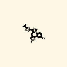 CC(C)c1noc(-c2ncn3c2Cc2cn(C)nc2-c2cc(Cl)ccc2-3)n1